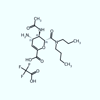 CCCCN(CCC)C(=O)[C@@H]1OC(C(=O)O)=C[C@H](N)[C@H]1NC(C)=O.O=C(O)C(F)(F)F